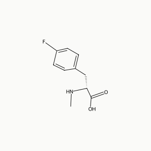 CN[C@H](Cc1ccc(F)cc1)C(=O)O